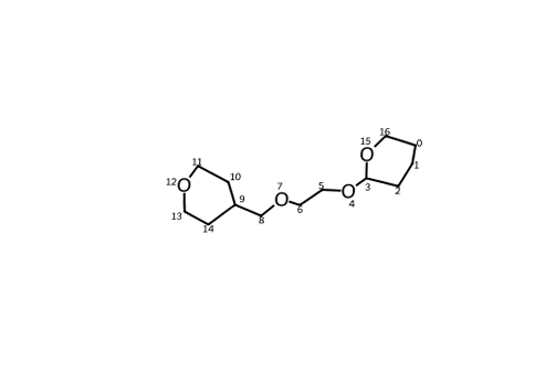 C1CCC(OCCOCC2CCOCC2)OC1